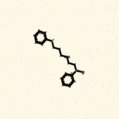 CCN(CCNCCCSc1ccccc1)c1ccccc1